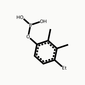 CCc1ccc(OB(O)O)c(C)c1C